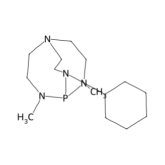 CN1CCN2CCN(C)P1N(C1CCCCC1)CC2